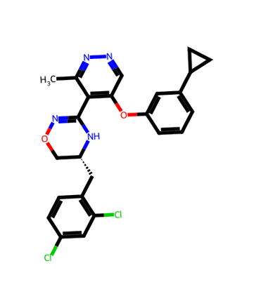 Cc1nncc(Oc2cccc(C3CC3)c2)c1C1=NOC[C@@H](Cc2ccc(Cl)cc2Cl)N1